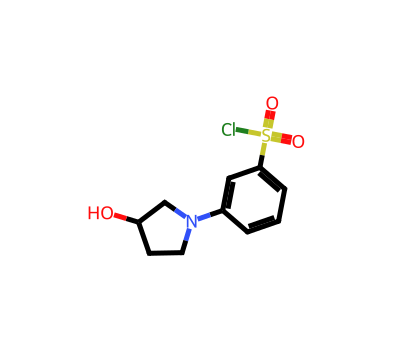 O=S(=O)(Cl)c1cccc(N2CCC(O)C2)c1